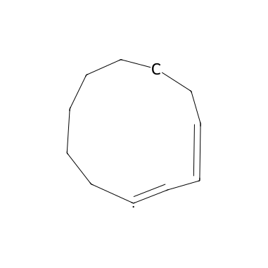 [C]1=CC=CCCCCCCC1